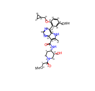 COCC(=O)N1CC[C@@H](NC(=O)c2c(C)[nH]c3c(-c4cc(OC)ccc4OCC4CC4)ncnc23)[C@@H](O)C1